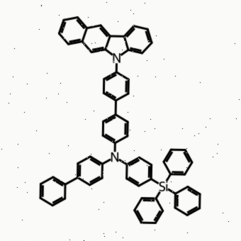 c1ccc(-c2ccc(N(c3ccc(-c4ccc(-n5c6ccccc6c6cc7ccccc7cc65)cc4)cc3)c3ccc([Si](c4ccccc4)(c4ccccc4)c4ccccc4)cc3)cc2)cc1